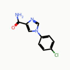 NC(=O)c1cn(-c2ccc(Cl)cc2)cn1